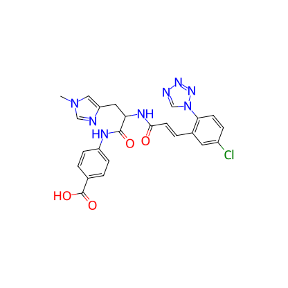 Cn1cnc(CC(NC(=O)C=Cc2cc(Cl)ccc2-n2cnnn2)C(=O)Nc2ccc(C(=O)O)cc2)c1